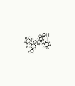 COc1cc2c(c(-c3c(C)cccc3C)c1)OC(CC(Cc1ccccc1)NC(=O)O)C2